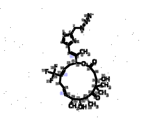 C/C(=C\c1csc(CN=[N+]=[N-])n1)[C@@H]1C/C=C(/C(F)(F)F)C/C=C/[C@H](C)[C@H](O)[C@@H](C)C(=O)C(C)(C)[C@@H](O)CC(=O)O1